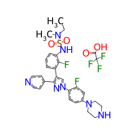 CCN(C)S(=O)(=O)Nc1cccc(-c2cn(-c3ccc(N4CCNCC4)cc3F)nc2-c2ccncc2)c1F.O=C(O)C(F)(F)F